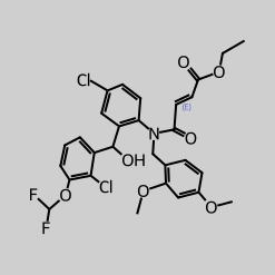 CCOC(=O)/C=C/C(=O)N(Cc1ccc(OC)cc1OC)c1ccc(Cl)cc1C(O)c1cccc(OC(F)F)c1Cl